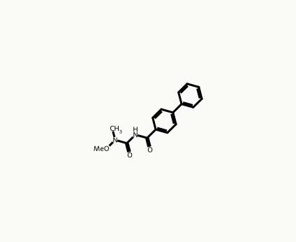 CON(C)C(=O)NC(=O)c1ccc(-c2ccccc2)cc1